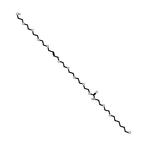 O=C(NCCOCCOCCCCCCCl)OCCOCCOCCOCCOC/C=C/COCCOCCOCCOCCO